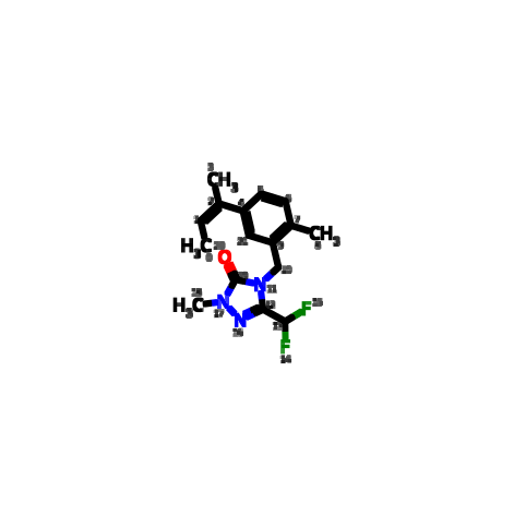 C/C=C(/C)c1ccc(C)c(Cn2c(C(F)F)nn(C)c2=O)c1